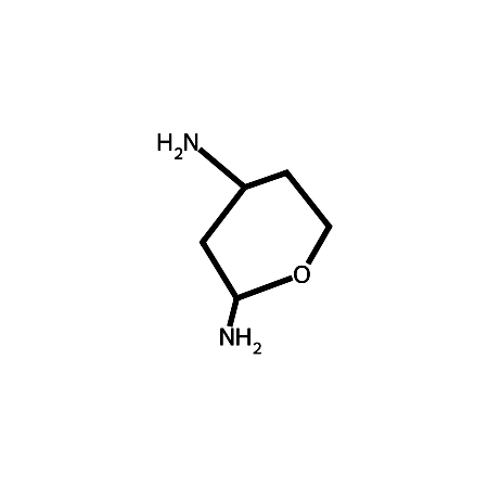 NC1CCOC(N)C1